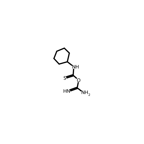 N=C(N)OC(=S)NC1CCCCC1